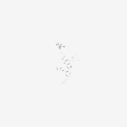 CCNC(=O)Nc1cc(-c2nc(C(F)(F)F)cs2)c(-c2ccc3c(c2)c(=O)c(C(=O)OCCOP(=O)(OC(C)(C)C)OC(C)(C)C)cn3C(CO)C(C)(C)C)cn1